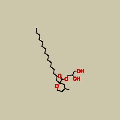 CCCCCCCCCCCCCCCCC1(C(=O)OCC(O)CO)CC(C)CCO1